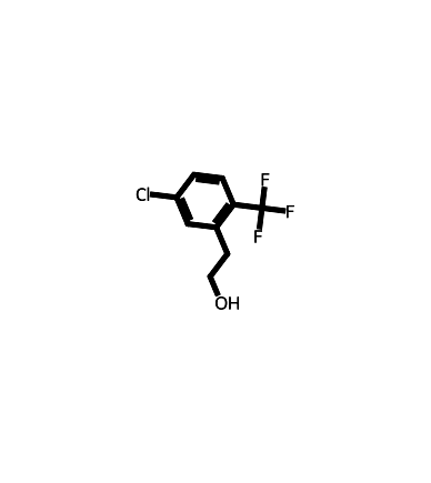 OCCc1cc(Cl)ccc1C(F)(F)F